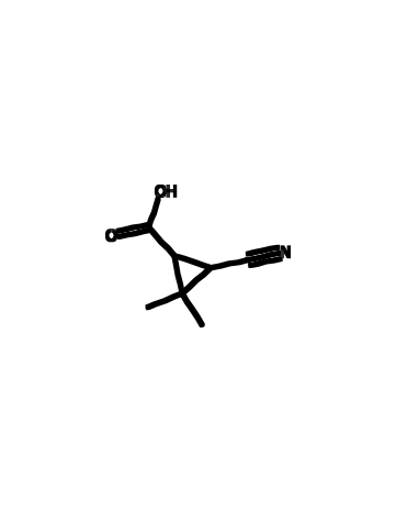 CC1(C)C(C#N)C1C(=O)O